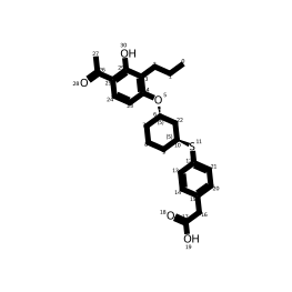 CCCc1c(O[C@H]2CCC[C@H](Sc3ccc(CC(=O)O)cc3)C2)ccc(C(C)=O)c1O